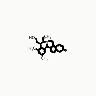 C=CC1C(CCO)c2c(C)cc(C)cc2-c2c3ccc4cc(F)ccc4c3cc[n+]21